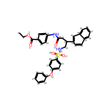 CCOC(=O)c1ccc(NC(=O)CC(CNS(=O)(=O)c2ccc(Oc3ccccc3)cc2)c2ccc3ccccc3c2)cc1